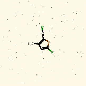 Cc1cc(Br)s[c]1[Zn][Br]